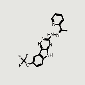 CC(=NNc1nnc2c(n1)[nH]c1ccc(OC(F)(F)F)cc12)c1ccccn1